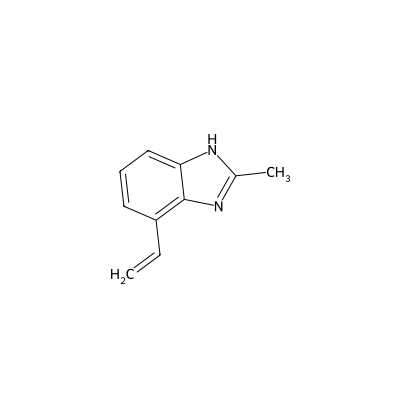 C=Cc1cccc2[nH]c(C)nc12